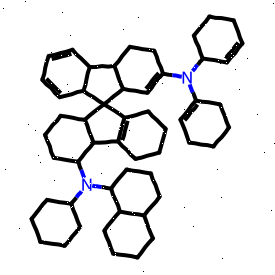 C1=CC2C3CCC(N(C4=CCCCC4)C4C=CCCC4)=CC3C3(C4=C(CCCC4)C4C(N(C5CCCCC5)C5CCCC6CCCCC65)CCCC43)C2C=C1